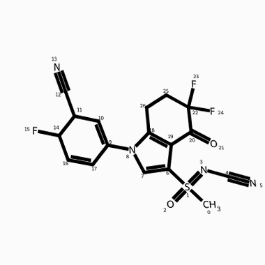 CS(=O)(=NC#N)c1cn(C2=CC(C#N)C(F)C=C2)c2c1C(=O)C(F)(F)CC2